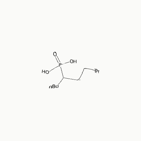 CCCCC([CH]CC(C)C)P(=O)(O)O